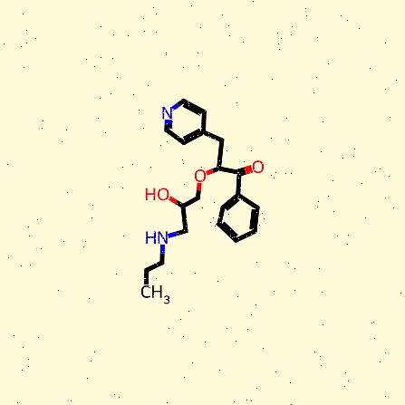 CCCNCC(O)COC(Cc1ccncc1)C(=O)c1ccccc1